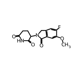 COc1cc2c(cc1F)CN(C1CCC(=O)NC1=O)C2=O